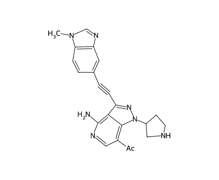 CC(=O)c1cnc(N)c2c(C#Cc3ccc4c(c3)ncn4C)nn(C3CCNC3)c12